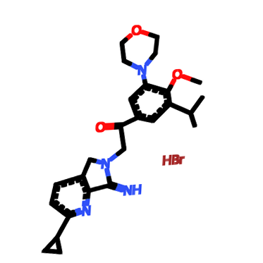 Br.COc1c(C(C)C)cc(C(=O)CN2Cc3ccc(C4CC4)nc3C2=N)cc1N1CCOCC1